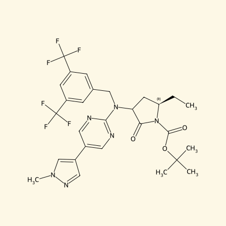 CC[C@@H]1CC(N(Cc2cc(C(F)(F)F)cc(C(F)(F)F)c2)c2ncc(-c3cnn(C)c3)cn2)C(=O)N1C(=O)OC(C)(C)C